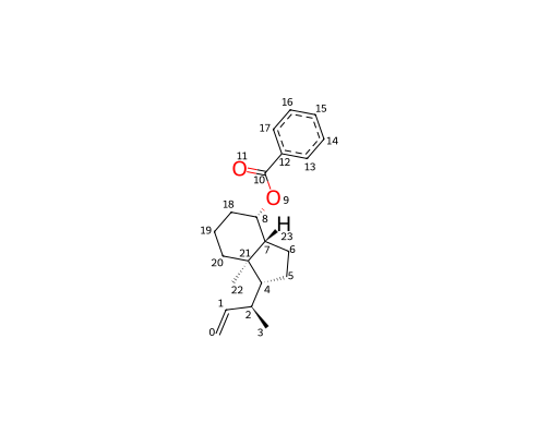 C=C[C@H](C)[C@H]1CC[C@H]2[C@@H](OC(=O)c3ccccc3)CCC[C@]12C